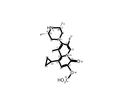 Cc1c(N2C[C@@H](C)N[C@@H](C)C2)c(F)cn2c(=O)c(OC(=O)O)cc(C3CC3)c12